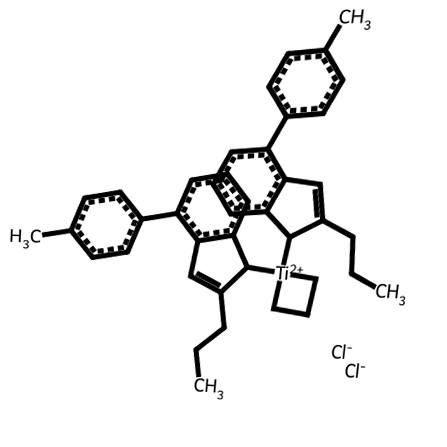 CCCC1=Cc2c(-c3ccc(C)cc3)cccc2[CH]1[Ti+2]1([CH]2C(CCC)=Cc3c(-c4ccc(C)cc4)cccc32)[CH2]C[CH2]1.[Cl-].[Cl-]